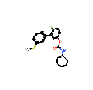 CSc1cccc(-c2cc(OC(=O)NC3CCCCC3)ccc2F)c1